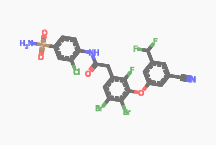 N#Cc1cc(Oc2c(F)c(CC(=O)Nc3ccc(S(N)(=O)=O)cc3Cl)cc(Br)c2Br)cc(C(F)F)c1